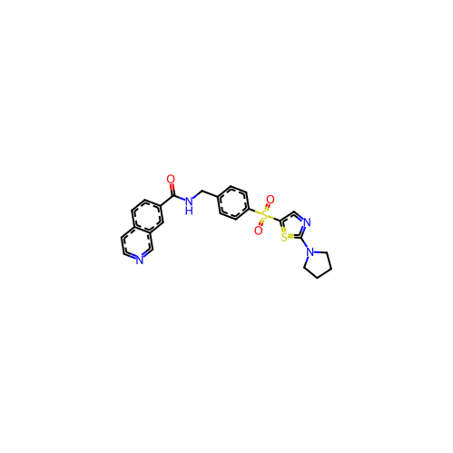 O=C(NCc1ccc(S(=O)(=O)c2cnc(N3CCCC3)s2)cc1)c1ccc2ccncc2c1